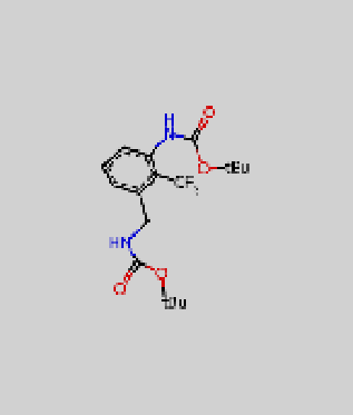 CC(C)(C)OC(=O)NCc1cccc(NC(=O)OC(C)(C)C)c1C(F)(F)F